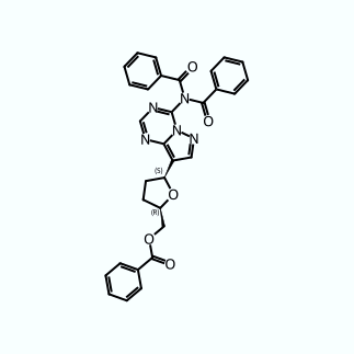 O=C(OC[C@H]1CC[C@@H](c2cnn3c(N(C(=O)c4ccccc4)C(=O)c4ccccc4)ncnc23)O1)c1ccccc1